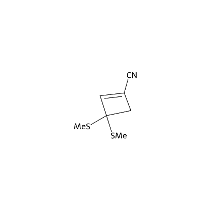 CSC1(SC)C=C(C#N)C1